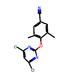 Cc1cc(C#N)cc(C)c1Oc1nc(Cl)cc(Cl)n1